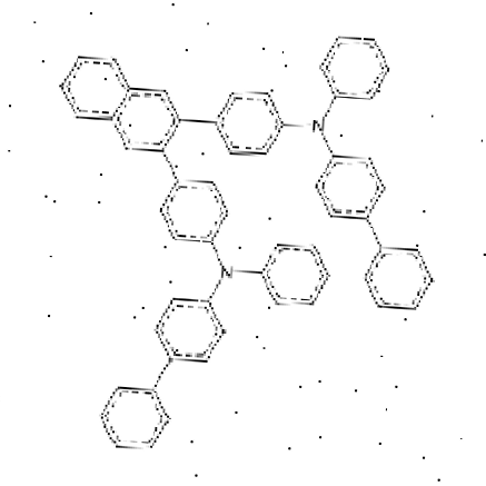 c1ccc(-c2ccc(N(c3ccccc3)c3ccc(-c4cc5ccccc5cc4-c4ccc(N(c5ccccc5)c5ccc(-c6ccccc6)cc5)cc4)cc3)cc2)cc1